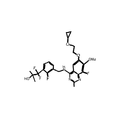 COc1c(OCCOC2CC2)cc2c(NCc3cccc(C(F)(F)C(C)(C)O)c3F)nc(C)nc2c1F